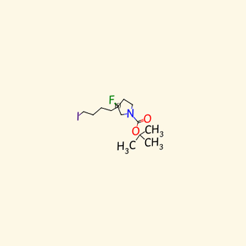 CC(C)(C)OC(=O)N1CC[C@@](F)(CCCCI)C1